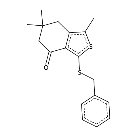 Cc1sc(SCc2ccccc2)c2c1CC(C)(C)CC2=O